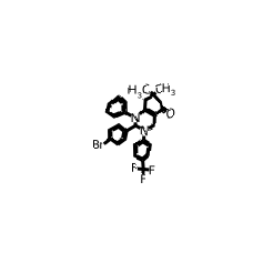 CC1(C)CC(=O)C2=C(C1)N(c1ccccc1)C(c1ccc(Br)cc1)N(c1ccc(C(F)(F)F)cc1)C2